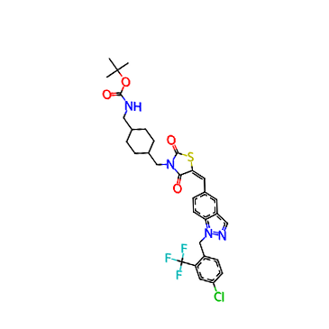 CC(C)(C)OC(=O)NCC1CCC(CN2C(=O)S/C(=C/c3ccc4c(cnn4Cc4ccc(Cl)cc4C(F)(F)F)c3)C2=O)CC1